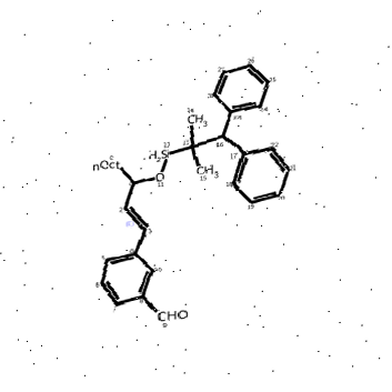 CCCCCCCCC(/C=C/c1cccc(C=O)c1)O[SiH2]C(C)(C)C(c1ccccc1)c1ccccc1